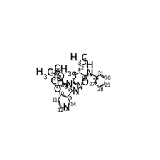 CCCC(Sc1nnc(-c2cccnc2)n1C(=O)OC(C)(C)C)C(=O)Nc1ccccc1